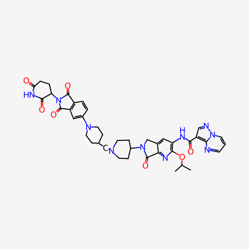 CC(C)Oc1nc2c(cc1NC(=O)c1cnn3cccnc13)CN(C1CCN(CC3CCN(c4ccc5c(c4)C(=O)N(C4CCC(=O)NC4=O)C5=O)CC3)CC1)C2=O